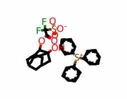 O=C(OC1C2CC3CC(C2)CC1(O)C3)C(F)(F)S(=O)(=O)[O-].c1ccc([S+](c2ccccc2)c2ccccc2)cc1